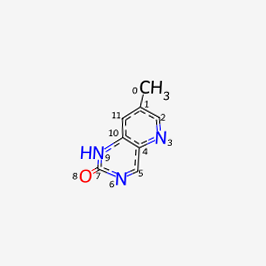 Cc1cnc2cnc(=O)[nH]c2c1